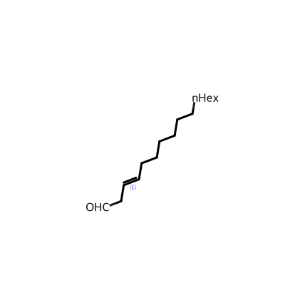 CCCCCCCCCCCC/C=C/CC=O